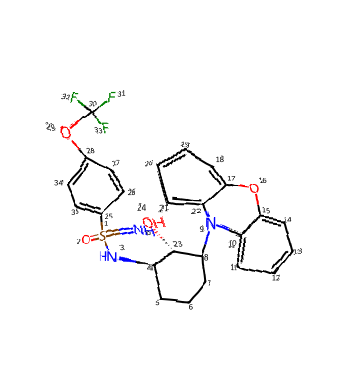 N=S(=O)(N[C@@H]1CCCC(N2c3ccccc3Oc3ccccc32)[C@H]1O)c1ccc(OC(F)(F)F)cc1